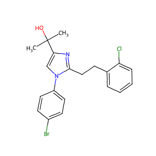 CC(C)(O)c1cn(-c2ccc(Br)cc2)c(CCc2ccccc2Cl)n1